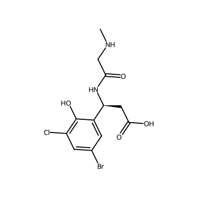 CNCC(=O)N[C@@H](CC(=O)O)c1cc(Br)cc(Cl)c1O